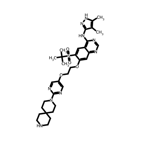 Cc1[nH]nc(Nc2ncnc3cc(OCCOc4cnc(N5CCC6(CCNCC6)CC5)nc4)c(S(=O)(=O)C(C)(C)C)cc23)c1C